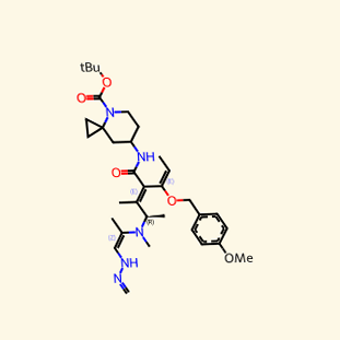 C=NN/C=C(/C)N(C)[C@H](C)/C(C)=C(C(=O)NC1CCN(C(=O)OC(C)(C)C)C2(CC2)C1)\C(=C/C)OCc1ccc(OC)cc1